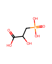 O=C(O)C(O)CP(=O)(O)O